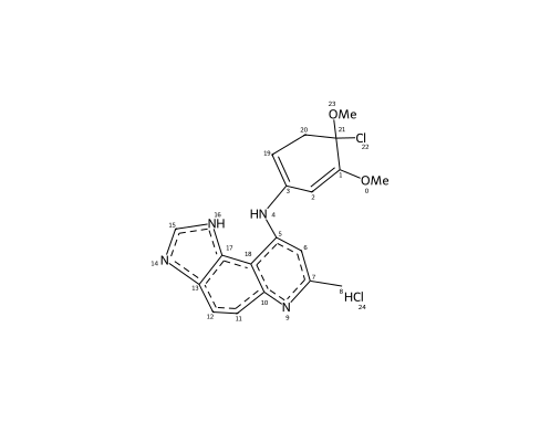 COC1=CC(Nc2cc(C)nc3ccc4nc[nH]c4c23)=CCC1(Cl)OC.Cl